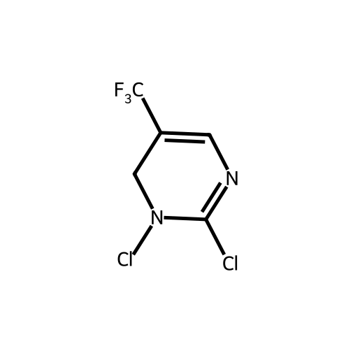 FC(F)(F)C1=CN=C(Cl)N(Cl)C1